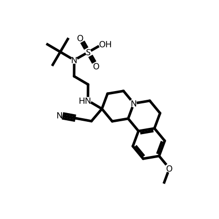 COc1ccc2c(c1)CCN1CCC(CC#N)(NCCN(C(C)(C)C)S(=O)(=O)O)CC21